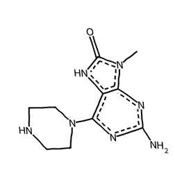 Cn1c(=O)[nH]c2c(N3CCNCC3)nc(N)nc21